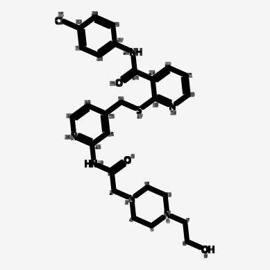 O=C(CN1CCN(CCO)CC1)Nc1cc(CSc2ncccc2C(=O)Nc2ccc(Cl)cc2)ccn1